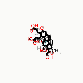 C[C@@H]1C[C@H]2[C@@H]3CCC4=CC(=O)C(CCC(=O)O)=C(CCC(=O)O)[C@]4(C)[C@@]3(F)[C@@H](O)C[C@]2(C)[C@@]1(O)C(=O)CO